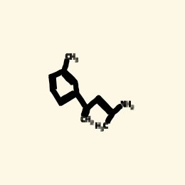 C=C(/C=C(\C)N)c1cccc(C)c1